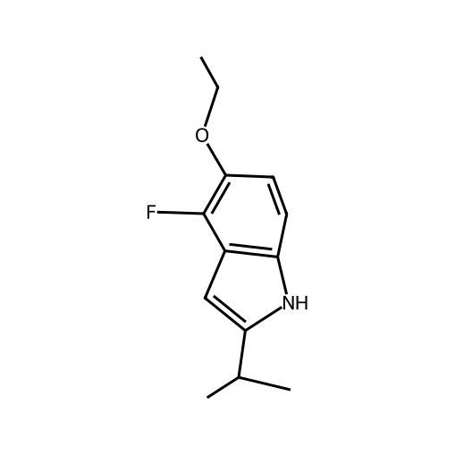 CCOc1ccc2[nH]c(C(C)C)cc2c1F